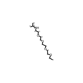 CCOCCOCCOCCOCCNC(C)C